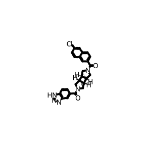 O=C(c1ccc2cc(Cl)ccc2c1)N1C[C@@H]2[C@H](C1)[C@H]1CN(C(=O)c3ccc4[nH]nnc4c3)C[C@@H]21